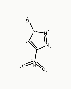 CCn1cc([SH](=O)=O)nn1